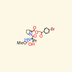 COC(O)N[C@H](C(=O)N1C2CCC(C2)[C@H]1C(=O)OCC(=O)c1ccc(Br)cc1)C(C)C